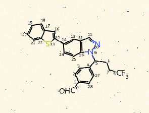 O=[C]c1ccc(C(CCC(F)(F)F)n2ncc3cc(-c4cc5ccccc5s4)ccc32)cc1